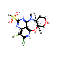 CN1c2nc(S(C)(=O)=O)nc3c(F)c(Cl)nc(c23)O[C@H]2COCC[C@@H]21